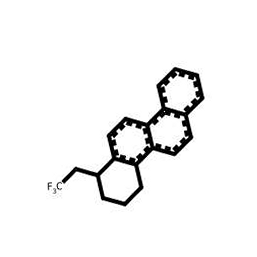 FC(F)(F)CC1CCCc2c1ccc1c2ccc2ccccc21